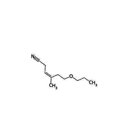 CCCOCC/C(C)=C\CC#N